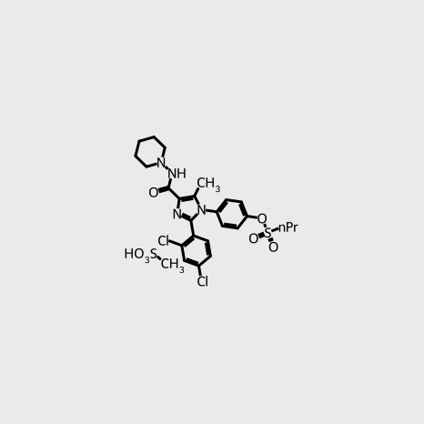 CCCS(=O)(=O)Oc1ccc(-n2c(-c3ccc(Cl)cc3Cl)nc(C(=O)NN3CCCCC3)c2C)cc1.CS(=O)(=O)O